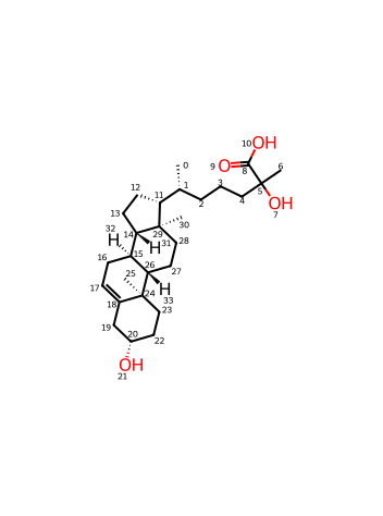 C[C@H](CCCC(C)(O)C(=O)O)[C@H]1CC[C@H]2[C@@H]3CC=C4C[C@@H](O)CC[C@]4(C)[C@H]3CC[C@]12C